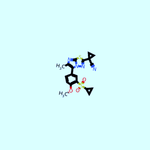 COc1ccc(-c2c(C)nc3sc(C4(C#N)CC4)nn23)cc1S(=O)(=O)C1CC1